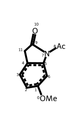 COc1ccc2c(c1)N(C(C)=O)C(=O)C2